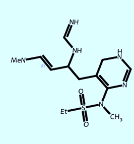 CCS(=O)(=O)N(C)C1=C(CC(/C=C/NC)NC=N)CNC=N1